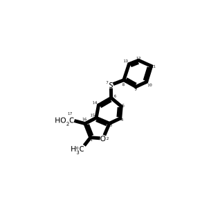 Cc1oc2ccc(Sc3ccccc3)cc2c1C(=O)O